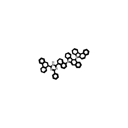 C1=CC2=C(CC1)c1ccccc1CC2C1N=C(c2ccccc2)N=C(C2=c3cccc(N4C5=Cc6ccccc6C(N6C7C=Cc8ccccc8C7C7C=CCCC76)C5C5=C4CCC=C5)c3=CCC2)N1